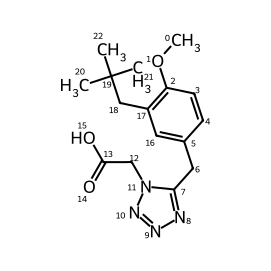 COc1ccc(Cc2nnnn2CC(=O)O)cc1CC(C)(C)C